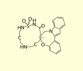 O=C1NS(=O)(=O)NCCCNCC/C2=C\1Cn1c(cc3ccccc31)-c1ccccc1O2